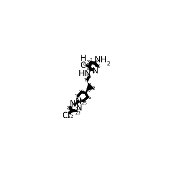 Cc1cc(N)cnc1NCC[C@@H]1C[C@@H]1C1CCN(c2ncc(Cl)cn2)CC1